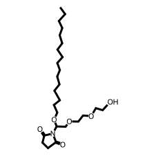 CCCCCCCCCCCCCCCCOC(COCCOCCO)N1C(=O)CCC1=O